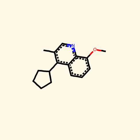 COc1cccc2c(C3CCCC3)c(C)cnc12